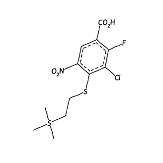 CS(C)(C)CCSc1c([N+](=O)[O-])cc(C(=O)O)c(F)c1Cl